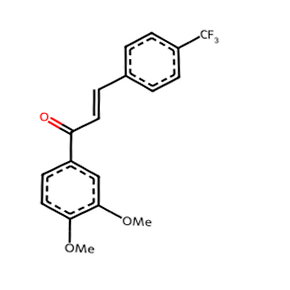 COc1ccc(C(=O)C=Cc2ccc(C(F)(F)F)cc2)cc1OC